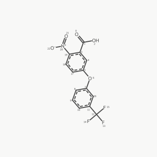 O=C(O)c1cc(Oc2cccc(C(F)(F)F)c2)ccc1[N+](=O)[O-]